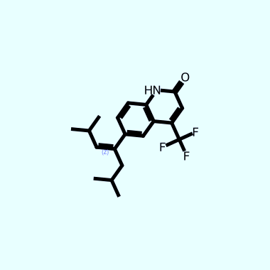 CC(C)/C=C(/CC(C)C)c1ccc2[nH]c(=O)cc(C(F)(F)F)c2c1